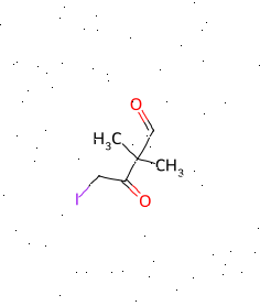 CC(C)(C=O)C(=O)CI